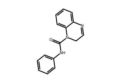 O=C(Nc1ccccc1)N1CC=Nc2ccccc21